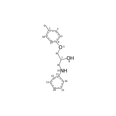 Cc1ccc(OCC(O)CNc2ccccc2)cc1